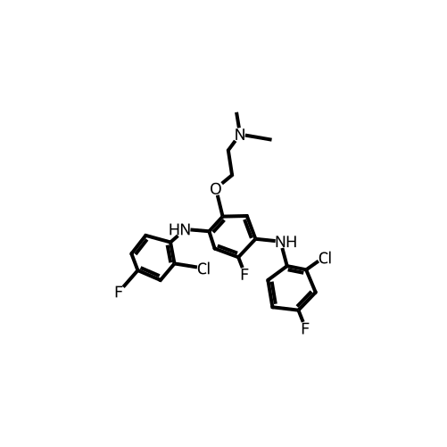 CN(C)CCOc1cc(Nc2ccc(F)cc2Cl)c(F)cc1Nc1ccc(F)cc1Cl